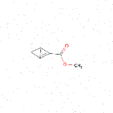 COC(=O)C1=C2CC21